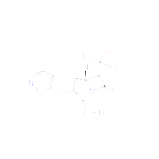 CC(C)(O)[C@@H]1C(=O)N2C(C(=O)O)=C(Sc3cccnc3)C[C@H]12